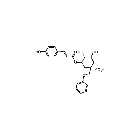 O=C(/C=C/c1ccc(O)cc1)O[C@@H]1C[C@@](COc2ccccc2)(C(=O)O)C[C@H](O)[C@H]1O